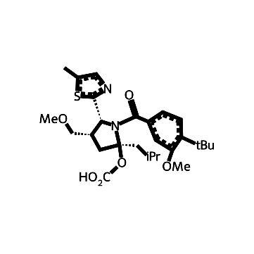 COC[C@H]1C[C@](CC(C)C)(OC(=O)O)N(C(=O)c2ccc(C(C)(C)C)c(OC)c2)[C@H]1c1ncc(C)s1